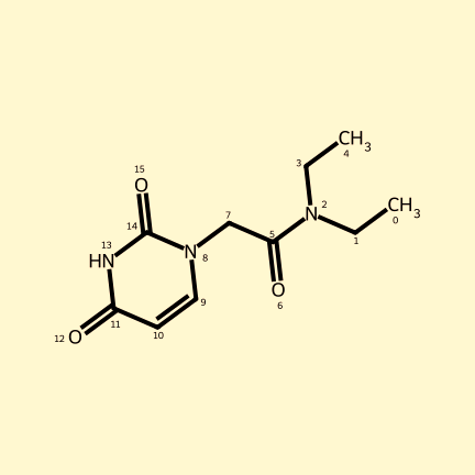 CCN(CC)C(=O)Cn1ccc(=O)[nH]c1=O